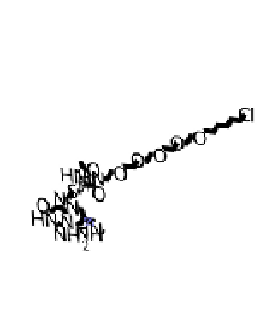 CN/C=C(\C=N)Cn1c(SC[C@H](NC(C)=O)C(=O)NCCOCCOCCOCCOCCOCCCCCCCl)nc2c(=O)[nH]c(N)nc21